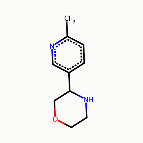 FC(F)(F)c1ccc(C2COCCN2)cn1